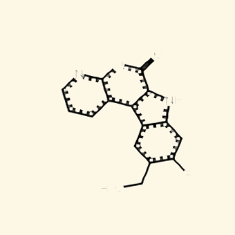 CCc1cc2c(cc1F)[nH]c1c(=O)oc3ncccc3c12